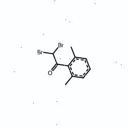 Cc1cccc(C)c1C(=O)C(Br)Br